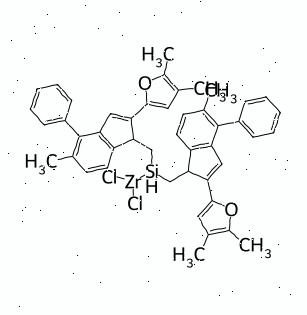 Cc1cc(C2=Cc3c(ccc(C)c3-c3ccccc3)C2C[SiH](CC2C(c3cc(C)c(C)o3)=Cc3c2ccc(C)c3-c2ccccc2)[Zr]([Cl])[Cl])oc1C